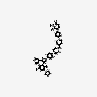 O=C1CC[C@H](c2ccc(N3CCC(CN4CCN(c5ccc(-n6cc(-c7cc(F)cc(N8CCCC8)c7F)c(-c7ccncc7)n6)cc5)CC4)CC3)nc2)C(=O)N1